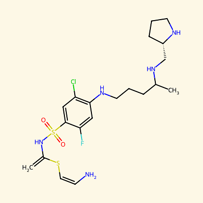 C=C(NS(=O)(=O)c1cc(Cl)c(NCCCC(C)NC[C@@H]2CCCN2)cc1F)S/C=C\N